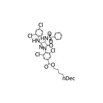 CCCCCCCCCCCCCCOC(=O)c1cc(Cl)c(N2N=C(Nc3ccc(Cl)cc3Cl)C(NS(=O)(=O)c3ccccc3)C2=O)c(Cl)c1